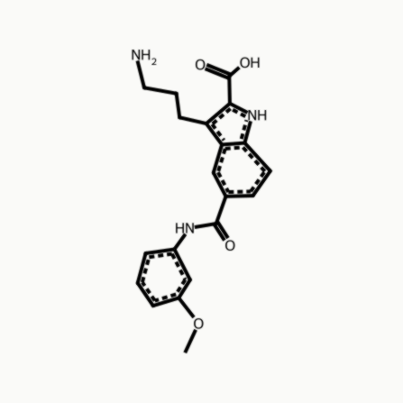 COc1cccc(NC(=O)c2ccc3[nH]c(C(=O)O)c(CCCN)c3c2)c1